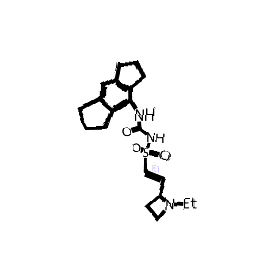 [CH2]CN1CCC1/C=C/S(=O)(=O)NC(=O)Nc1c2c(cc3c1CCC3)CCC2